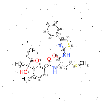 CCC(=O)C(C)(O)c1cc(C(=O)N[C@@H](CCSC)C(=O)Nc2nc(-c3ccccc3)cs2)ccc1C